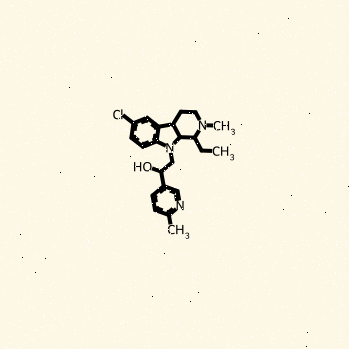 CCC1C2C(CCN1C)c1cc(Cl)ccc1N2CC(O)c1ccc(C)nc1